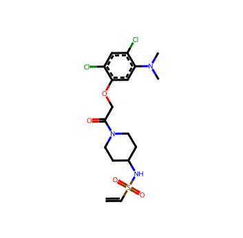 C=CS(=O)(=O)NC1CCN(C(=O)COc2cc(N(C)C)c(Cl)cc2Cl)CC1